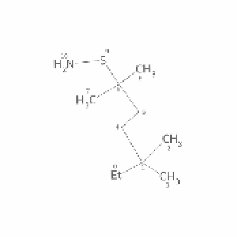 CCC(C)(C)CCC(C)(C)SN